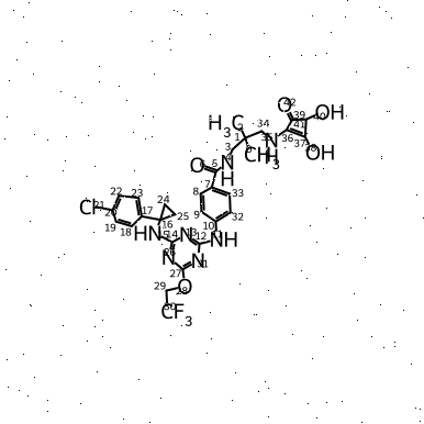 CC(C)(CNC(=O)c1ccc(Nc2nc(NC3(c4ccc(Cl)cc4)CC3)nc(OCC(F)(F)F)n2)cc1)CNC1=C(O)C(O)C1=O